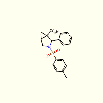 Cc1ccc(S(=O)(=O)N2CC3CC3(C(=O)O)C2c2ccccc2)cc1